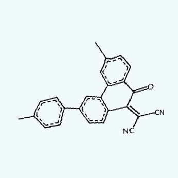 Cc1ccc(-c2ccc3c(c2)-c2cc(C)ccc2C(=O)C3=C(C#N)C#N)cc1